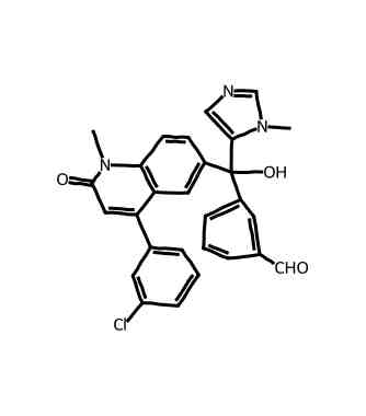 Cn1cncc1C(O)(c1cccc(C=O)c1)c1ccc2c(c1)c(-c1cccc(Cl)c1)cc(=O)n2C